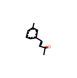 CC(=O)C=Cc1cccc(C)c1